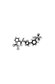 CN(C(=O)C1CCCN1C(=O)O)c1nc(-c2cccc(NS(C)(=O)=O)c2)cs1